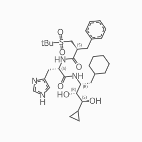 CC(C)(C)S(=O)(=O)C[C@@H](Cc1ccccc1)C(=O)N[C@@H](Cc1c[nH]cn1)C(=O)N[C@H](CC1CCCCC1)[C@@H](O)[C@@H](O)C1CC1